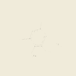 COc1c(C(C)(C)C)cc(S(=O)(=O)O)cc1C(C)(C)C.N